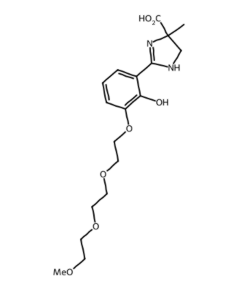 COCCOCCOCCOc1cccc(C2=NC(C)(C(=O)O)CN2)c1O